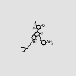 CCN(CC)CCCCNc1ncc2cc(-c3cc(OC)cc(OC)c3F)c(=O)n(CCc3cccc(N)c3)c2n1